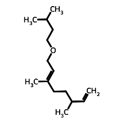 C=CC(C)CCC(C)=CCOCCC(C)C